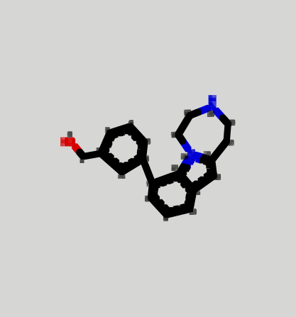 OCc1cccc(-c2cccc3cc4n(c23)CCNCC4)c1